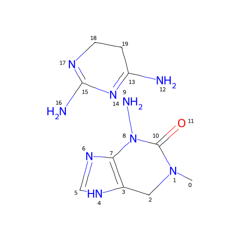 CN1Cc2[nH]cnc2N(N)C1=O.NC1=NC(N)=NCC1